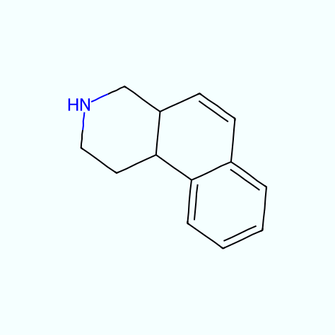 C1=CC2CNCCC2c2ccccc21